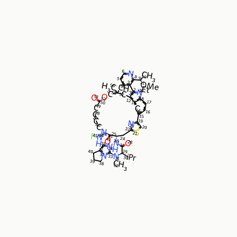 CCn1c(-c2cccnc2[C@H](C)OC)c2c3cc(ccc31)-c1csc(n1)C[C@H](NC(=O)C(C(C)C)N(C)c1ncc3n1CCC3)C(=O)N(NF)CCCCC(=O)OCC(C)(C)C2